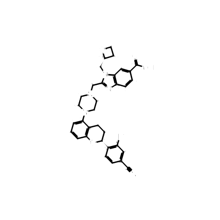 N#Cc1ccc([C@@H]2CCc3c(cccc3N3CCN(Cc4nc5ccc(C(=O)O)cc5n4C[C@@H]4CCO4)CC3)O2)c(F)c1